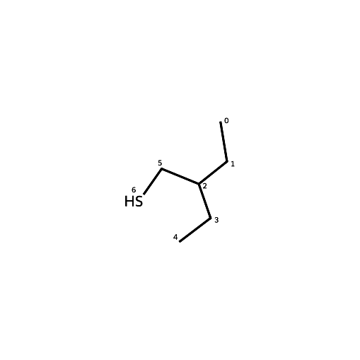 CCC(CC)CS